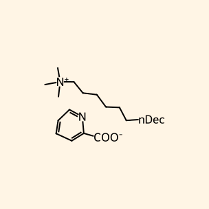 CCCCCCCCCCCCCCCC[N+](C)(C)C.O=C([O-])c1ccccn1